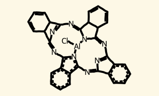 [Cl][Al]1[N]2C3=NC4=NC(=Nc5c6ccccc6c([n]51)N=C1N=C(N=C2C2C=CC=CC32)C2C=CC=CC12)c1ccccc14